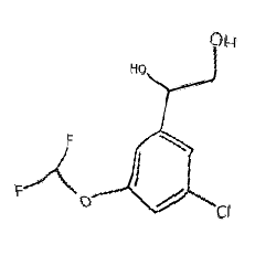 OCC(O)c1cc(Cl)cc(OC(F)F)c1